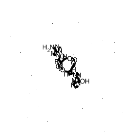 C[P@]1(=O)O/C=C/[C@@H]2[C@@H](CO[P@](C)(=O)O[C@H]3[C@@H](F)[C@H](n4cnc5c(N)ncnc54)O[C@@H]3CO1)C[C@H]2n1cnc2c(O)n3ccnc3nc21